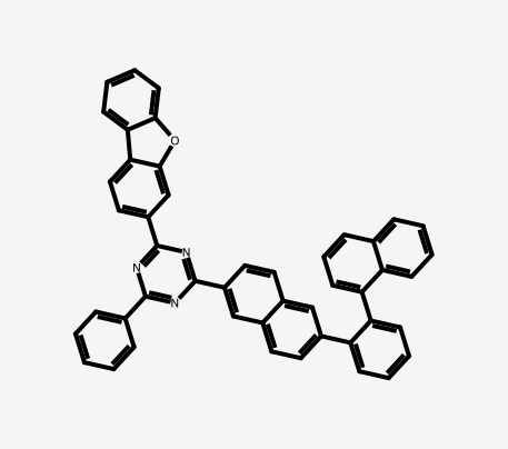 c1ccc(-c2nc(-c3ccc4cc(-c5ccccc5-c5cccc6ccccc56)ccc4c3)nc(-c3ccc4c(c3)oc3ccccc34)n2)cc1